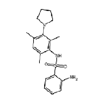 Cc1cc(C)c(N2CCCC2)c(C)c1NS(=O)(=O)c1ccccc1N